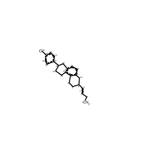 CC/C=C/C1CCc2c(ccc3c2CCC(c2ccc(Cl)cc2)C3)C1